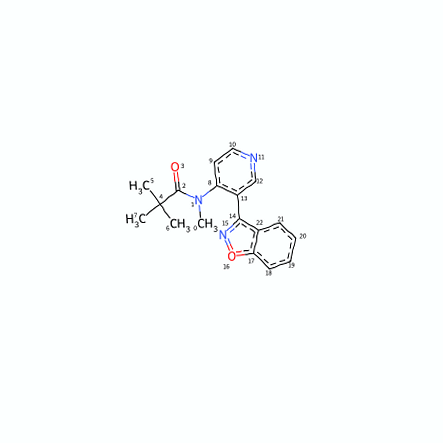 CN(C(=O)C(C)(C)C)c1ccncc1-c1noc2ccccc12